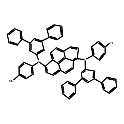 CC(C)c1ccc(N(c2cc(-c3ccccc3)cc(-c3ccccc3)c2)c2ccc3ccc4c(N(c5ccc(C(C)(C)C)cc5)c5cc(-c6ccccc6)cc(-c6ccccc6)c5)ccc5ccc2c3c54)cc1